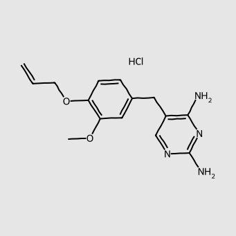 C=CCOc1ccc(Cc2cnc(N)nc2N)cc1OC.Cl